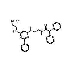 CC(=O)NCCNc1cc(NCCNC(=O)C(c2ccccc2)c2ccccc2)nc(-c2ccccc2)n1